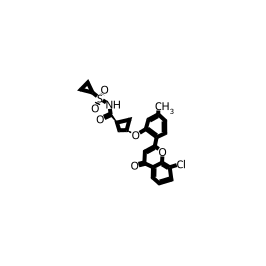 Cc1ccc(-c2cc(=O)c3cccc(Cl)c3o2)c(O[C@H]2C[C@H](C(=O)NS(=O)(=O)C3CC3)C2)c1